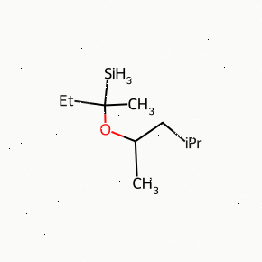 CCC(C)([SiH3])OC(C)CC(C)C